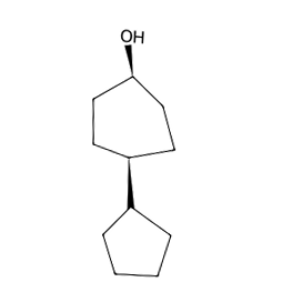 O[C@H]1CC[C@@H](C2CCCC2)CC1